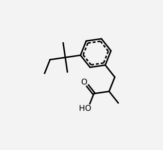 CCC(C)(C)c1cccc(CC(C)C(=O)O)c1